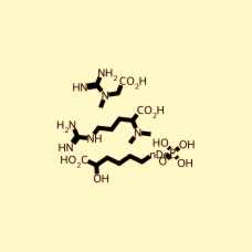 CCCCCCCCCCCCCCC(O)C(=O)O.CN(C)C(CCCNC(=N)N)C(=O)O.CN(CC(=O)O)C(=N)N.O=P(O)(O)O